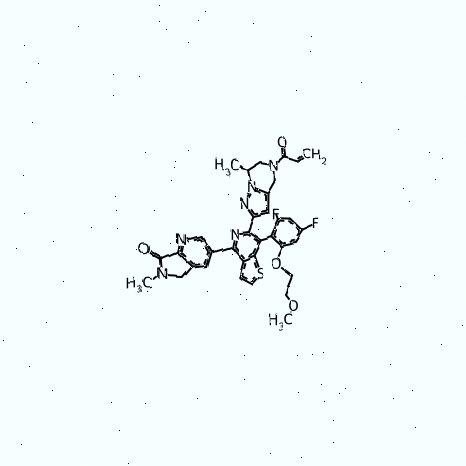 C=CC(=O)N1Cc2cc(-c3nc(-c4cnc5c(c4)CN(C)C5=O)c4ccsc4c3-c3c(F)cc(F)cc3OCCOC)nn2[C@@H](C)C1